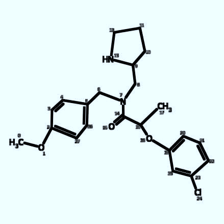 COc1ccc(CN(CC2CCCN2)C(=O)C(C)Oc2cccc(Cl)c2)cc1